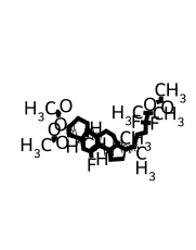 CC(=O)O[C@H]1[C@@H](OC(C)=O)CC[C@]2(C)[C@H]3CC[C@]4(C)[C@@H]([C@H](C)CCC(F)(F)C(C)(C)OC(C)=O)CC[C@H]4C3=C(F)C[C@@H]12